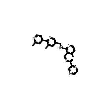 C=C(/N=C\c1c(C)ccnc1NCc1cnc(-c2ccnc(C)c2)c(C)c1)c1cnccn1